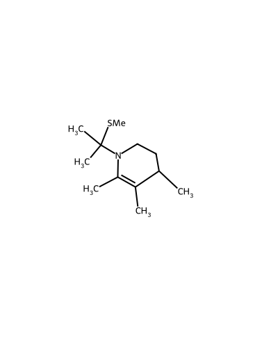 CSC(C)(C)N1CCC(C)C(C)=C1C